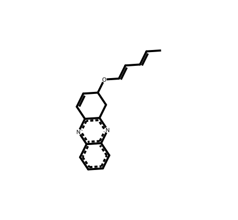 CC=CC=COC1C=Cc2nc3ccccc3nc2C1